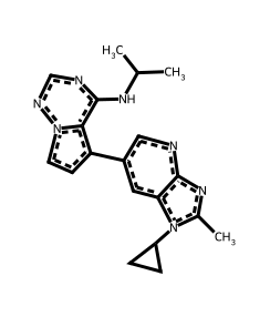 Cc1nc2ncc(-c3ccn4ncnc(NC(C)C)c34)cc2n1C1CC1